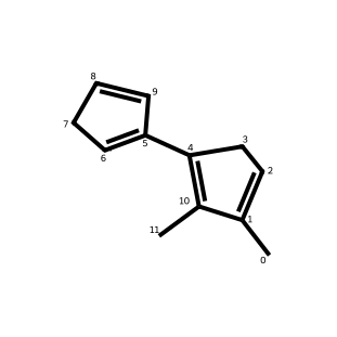 CC1=CCC(C2=[C]CC=C2)=C1C